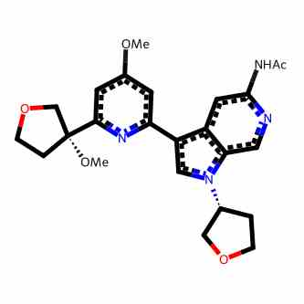 COc1cc(-c2cn([C@@H]3CCOC3)c3cnc(NC(C)=O)cc23)nc([C@@]2(OC)CCOC2)c1